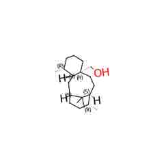 C[C@@H]1CCC[C@@]2(CO)CC[C@H]3[C@H](C)CC[C@@H](C[C@H]12)C3(C)C